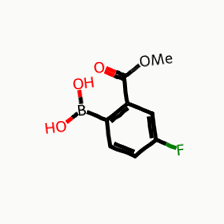 COC(=O)c1cc(F)ccc1B(O)O